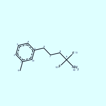 Cc1cccc(CCCC(N)(F)F)c1